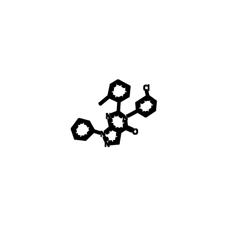 Cc1ccccc1-c1nc2c(cnn2-c2ccccc2)c(=O)n1-c1cccc(Cl)c1